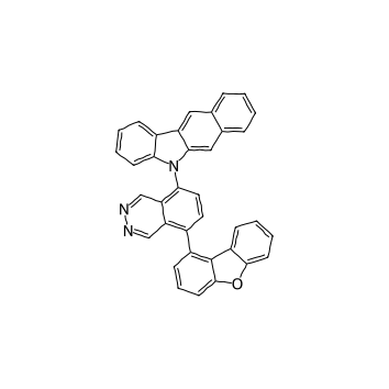 c1ccc2cc3c(cc2c1)c1ccccc1n3-c1ccc(-c2cccc3oc4ccccc4c23)c2cnncc12